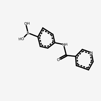 O=C(Nc1ccc(B(O)O)cc1)c1cccnc1